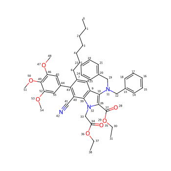 CCCCCCCc1cc2c(N(Cc3ccccc3)Cc3ccccc3)c(C(=O)OCC)n(CC(=O)OCC)c2c(C#N)c1-c1cc(OC)c(OC)c(OC)c1